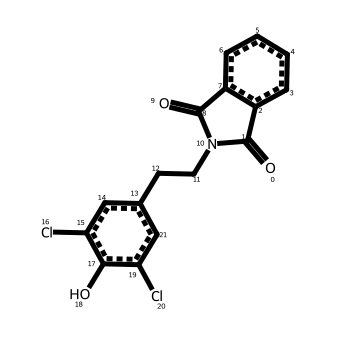 O=C1c2ccccc2C(=O)N1CCc1cc(Cl)c(O)c(Cl)c1